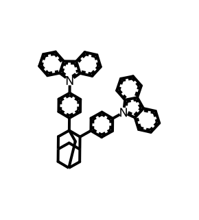 c1ccc2c(c1)c1ccccc1n2-c1ccc(C2C3CC4CC(C3)CC2(c2ccc(-n3c5ccccc5c5ccccc53)cc2)C4)cc1